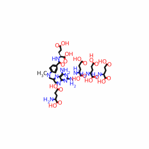 CN(Cc1cnc2nc(N)nc(N)c2n1)c1ccc(C(=O)N[C@@H](CCC(=O)O)C(=O)O)cc1.NC(CCC(=O)O)C(=O)O.NC(CCC(=O)O)C(=O)O.NC(CCC(=O)O)C(=O)O.NC(CCC(=O)O)C(=O)O